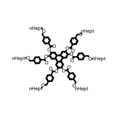 CCCCCCCOCc1ccc(C(=O)Oc2cc3c4cc(OC(=O)c5ccc(COCCCCCCC)cc5)c(OC(=O)c5ccc(COCCCCCCC)cc5)cc4c4cc(OC(=O)c5ccc(COCCCCCCC)cc5)c(OC(=O)c5ccc(COCCCCCCC)cc5)cc4c3cc2OC(=O)c2ccc(COCCCCCCC)cc2)cc1